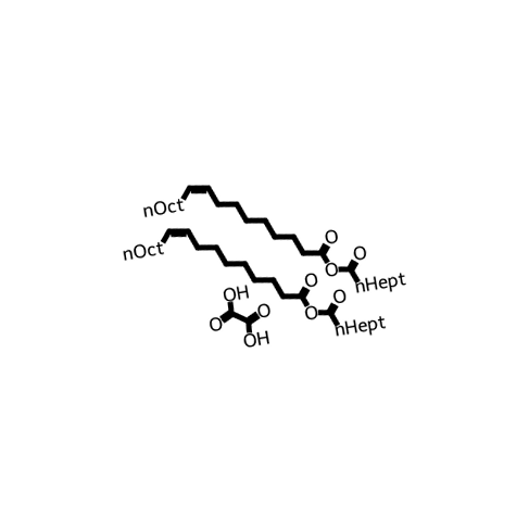 CCCCCCCC/C=C\CCCCCCCC(=O)OC(=O)CCCCCCC.CCCCCCCC/C=C\CCCCCCCC(=O)OC(=O)CCCCCCC.O=C(O)C(=O)O